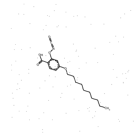 CCCCCCCCCCOc1ccc(C(=O)O)c(ON=C=O)c1